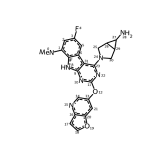 CNc1cc(F)cc2c1[nH]c1nc(Oc3cnc4ccoc4c3)nc(N3CC4C(N)C4C3)c12